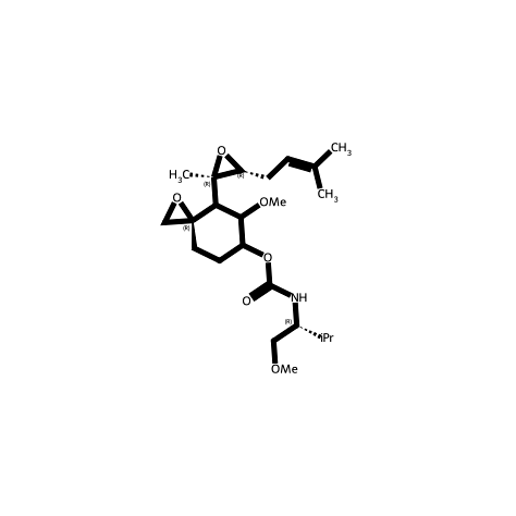 COC[C@H](NC(=O)OC1CC[C@]2(CO2)C([C@@]2(C)O[C@@H]2CC=C(C)C)C1OC)C(C)C